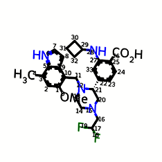 COc1cc(C)c2[nH]ccc2c1CN1CCN(CC(F)F)C[C@H]1c1ccc(C(=O)O)c(NC2CCC2)c1